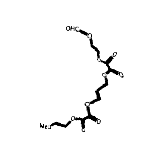 COCCOC(=O)C(=O)OCCCOC(=O)C(=O)OCCOC=O